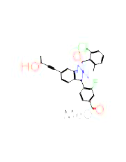 COC(=O)c1ccc(-c2nn(C(=O)c3c(C)cccc3Cl)c3cc(C#CC(C)O)ccc23)c(F)c1